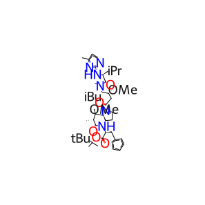 CC[C@H](C)[C@@H]([C@@H](CC(=O)N1CCC[C@H]1[C@H](OC)[C@@H](C)C(=O)N[C@@H](Cc1ccccc1)C(=O)OC(C)(C)C(C)(C)C)OC)N(C)C(=O)[C@@H](Nc1nccc(C)n1)C(C)C